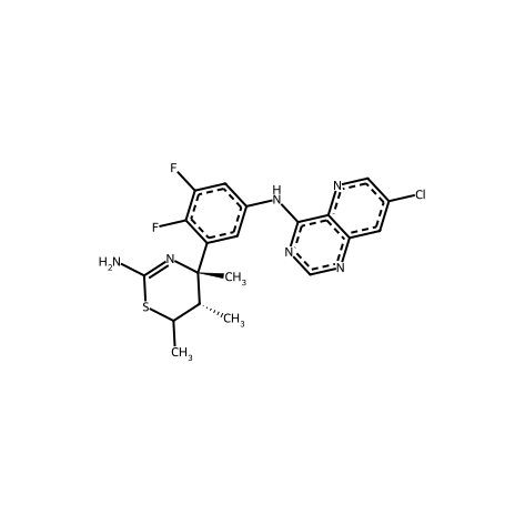 CC1SC(N)=N[C@](C)(c2cc(Nc3ncnc4cc(Cl)cnc34)cc(F)c2F)[C@@H]1C